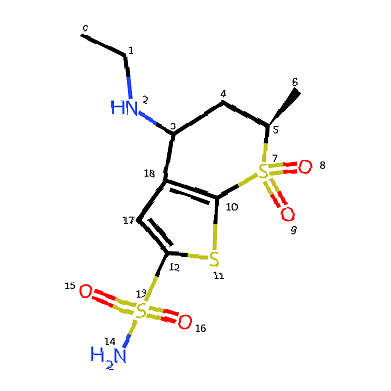 CCNC1C[C@@H](C)S(=O)(=O)c2sc(S(N)(=O)=O)cc21